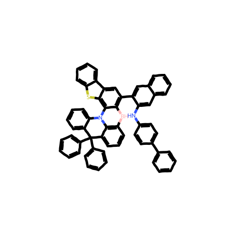 B1c2cccc3c2N(c2ccccc2C3(c2ccccc2)c2ccccc2)c2c1c(-c1cc3ccccc3cc1Nc1ccc(-c3ccccc3)cc1)cc1c2sc2ccccc21